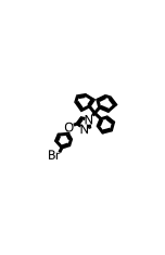 Brc1ccc(Oc2cn(C(c3ccccc3)(c3ccccc3)c3ccccc3)cn2)cc1